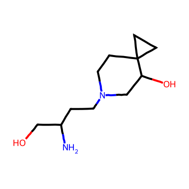 NC(CO)CCN1CCC2(CC2)C(O)C1